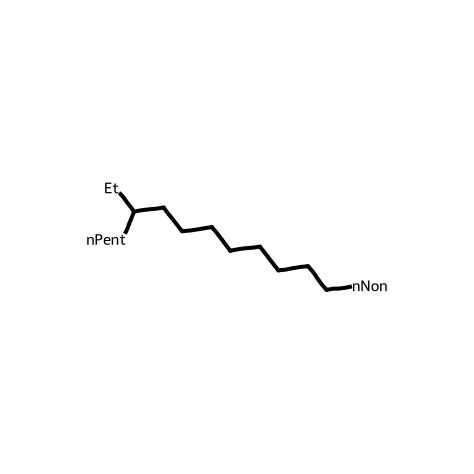 [CH2]CCCCCCCCCCCCCCCCC(CC)CCCC[CH2]